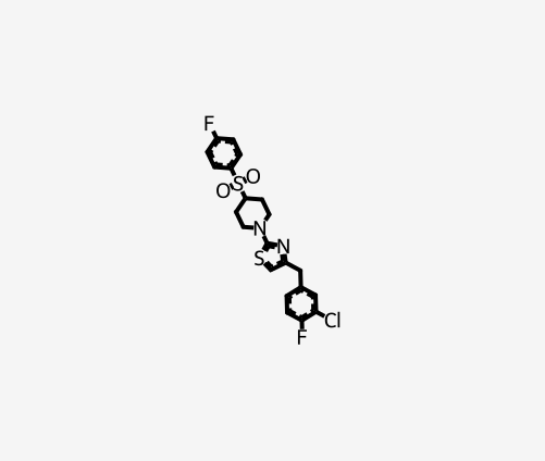 O=S(=O)(c1ccc(F)cc1)C1CCN(c2nc(Cc3ccc(F)c(Cl)c3)cs2)CC1